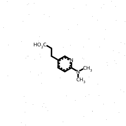 CN(C)c1ccc(CCC(=O)O)cn1